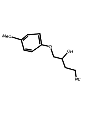 [C-]#[N+]CCC(O)COc1ccc(OC)cc1